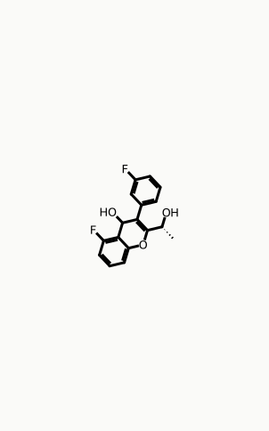 C[C@@H](O)C1=C(c2cccc(F)c2)C(O)c2c(F)cccc2O1